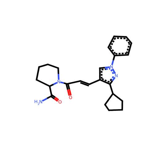 NC(=O)C1CCCCN1C(=O)C=Cc1cn(-c2ccccc2)nc1C1CCCC1